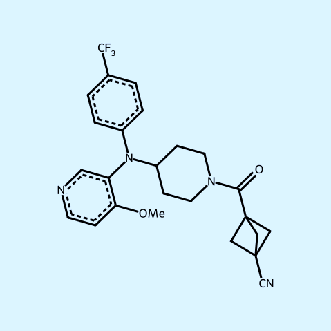 COc1ccncc1N(c1ccc(C(F)(F)F)cc1)C1CCN(C(=O)C23CC(C#N)(C2)C3)CC1